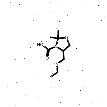 CCNCC1COC(C)(C)N1C(=O)O